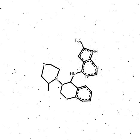 CC1COCCN1C1CCc2ccccc2C1Nc1ncnc2[nH]c(C(F)(F)F)cc12